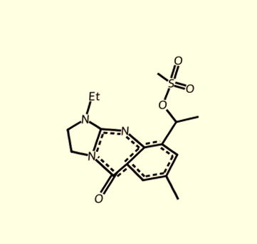 CCN1CCn2c1nc1c(C(C)OS(C)(=O)=O)cc(C)cc1c2=O